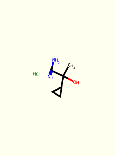 CC(O)(C(=N)N)C1CC1.Cl